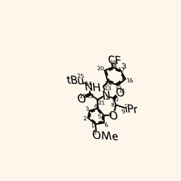 COc1ccc2c(c1)OC(C(C)C)C(=O)N(Cc1cccc(C(F)(F)F)c1)C2C(=O)NC(C)(C)C